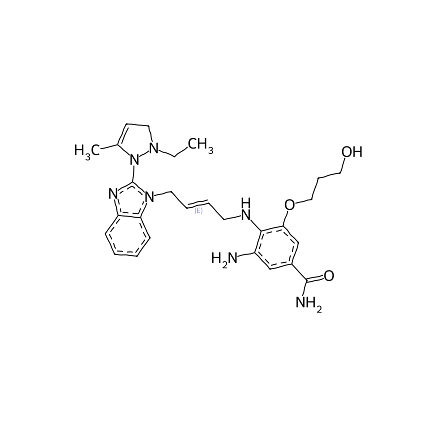 CCN1CC=C(C)N1c1nc2ccccc2n1C/C=C/CNc1c(N)cc(C(N)=O)cc1OCCCO